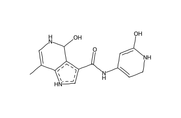 CC1=CNC(O)c2c(C(=O)NC3=CCNC(O)=C3)c[nH]c21